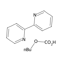 CCCCOC(=O)O.c1ccc(-c2ccccn2)nc1